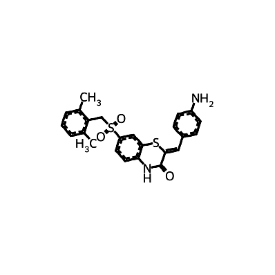 Cc1cccc(C)c1CS(=O)(=O)c1ccc2c(c1)SC(=Cc1ccc(N)cc1)C(=O)N2